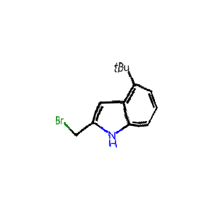 CC(C)(C)c1cccc2[nH]c(CBr)cc12